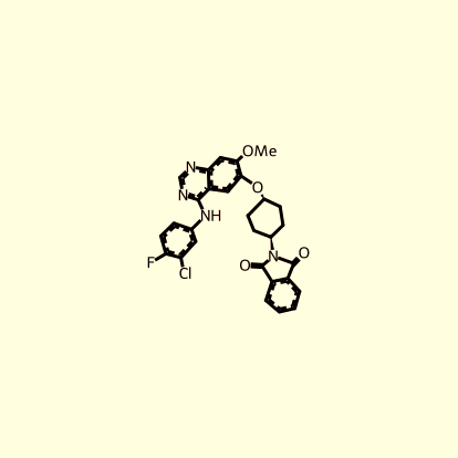 COc1cc2ncnc(Nc3ccc(F)c(Cl)c3)c2cc1O[C@H]1CC[C@H](N2C(=O)c3ccccc3C2=O)CC1